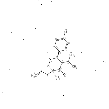 C=CC[C@@]1(C)CC[C@@H](c2ccc(Cl)cc2)N(C(C)C)[S+]1[O-]